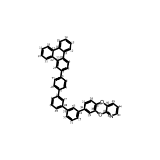 c1cc(-c2ccc(-c3ccc4c5ccccc5c5ccccc5c4c3)cc2)cc(-c2cccc(-c3ccc4c(c3)Oc3ncccc3O4)c2)c1